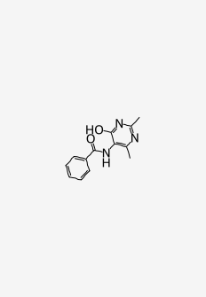 Cc1nc(C)c(NC(=O)c2ccccc2)c(O)n1